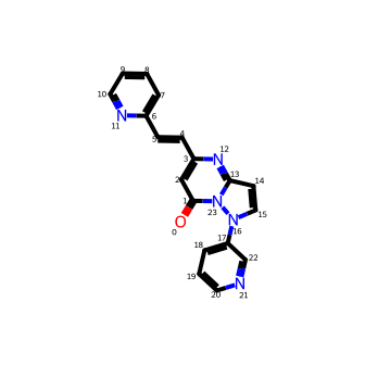 O=c1cc(/C=C/c2ccccn2)nc2ccn(-c3cccnc3)n12